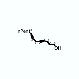 CCCCCC#CCC#C/C=C/CO